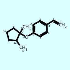 C=Cc1ccc(OC2(C)CCCC2C)cc1